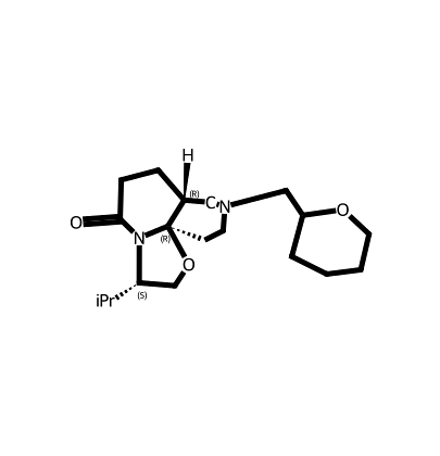 CC(C)[C@H]1CO[C@]23CCN(CC4CCCCO4)C[C@H]2CCC(=O)N13